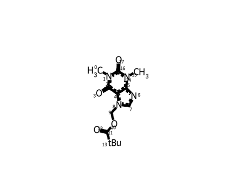 Cn1c(=O)c2c(ncn2COC(=O)C(C)(C)C)n(C)c1=O